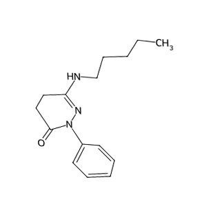 CCCCCNC1=NN(c2ccccc2)C(=O)CC1